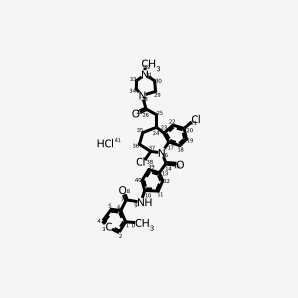 Cc1ccccc1C(=O)Nc1ccc(C(=O)N2c3ccc(Cl)cc3C(CC(=O)N3CCN(C)CC3)CCC2Cl)cc1.Cl